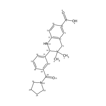 CC1(C)Cc2cc(C(=O)O)ccc2NC1c1cccc(C(=O)N2CCCC2)c1